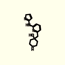 OC1(Cc2cccc(NC3=NCC=C3)n2)CCNCC1